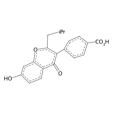 CC(C)Cc1oc2cc(O)ccc2c(=O)c1-c1ccc(C(=O)O)cc1